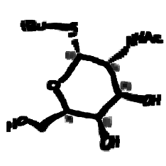 CC(=O)N[C@@H]1[C@@H](O)[C@@H](O)[C@@H](CO)O[C@@H]1SC(C)(C)C